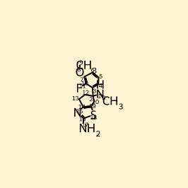 CNC1(c2cccc(OC)c2F)CCc2nc(N)sc2C1